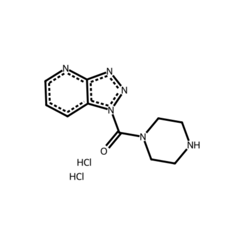 Cl.Cl.O=C(N1CCNCC1)n1nnc2ncccc21